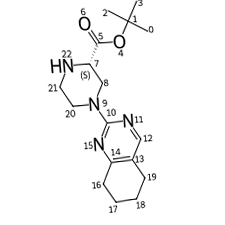 CC(C)(C)OC(=O)[C@@H]1CN(c2ncc3c(n2)CCCC3)CCN1